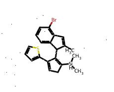 CC1=Cc2c(Br)cccc2C1C1=C([SiH](C)C)CC=C1c1cccs1